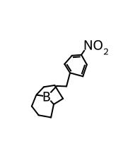 O=[N+]([O-])c1ccc(CCB2C3CCCC2CCC3)cc1